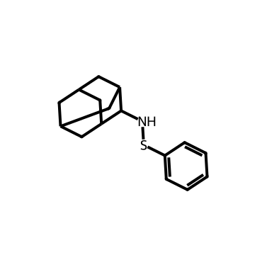 c1ccc(SNC2C3CC4CC(C3)CC2C4)cc1